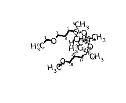 CCOCCC[Si](C)(C)O[Si](C)(C)O[Si](C)(C)CCCOC